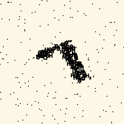 C=CCc1ccc(C(=O)OCC)cc1.CC(=O)Nc1cc([N+](=O)[O-])ccc1C(=O)O.CC(=O)Nc1ccc(C(=O)O)c(O)c1.CC(=O)Oc1ccc(C(=O)O)cc1.CC(=O)c1ccc(O)c(C(=O)O)c1.CC(=O)c1ccccc1C(=O)O.COC(=O)c1cc(Cl)c(NC(C)=O)cc1O.COC(=O)c1cc(Cl)ccc1NC(C)=O.COc1cc(NC(C)=O)ccc1C(=O)O.Nc1cccc(C(=O)O)c1